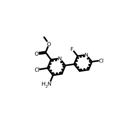 COC(=O)c1nc(-c2ccc(Cl)nc2F)cc(N)c1Cl